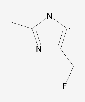 CC1=NC(CF)=[C][N]1